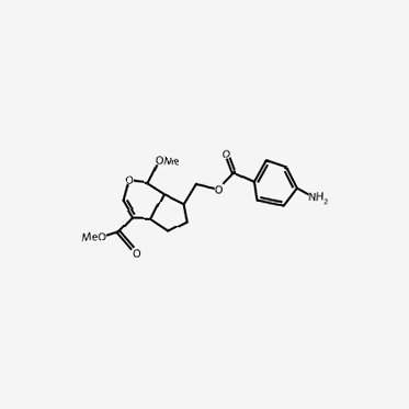 COC(=O)C1=COC(OC)C2C(COC(=O)c3ccc(N)cc3)CCC12